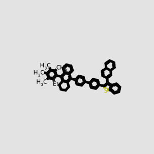 CCc1c(C)c(C)c(C)c(C)c1-c1c2c(c(-c3ccc(-c4ccc(-c5sc6ccccc6c5C5=CC6C=CC=CC6C=C5)cc4)cc3)c3ccccc13)CCCC2